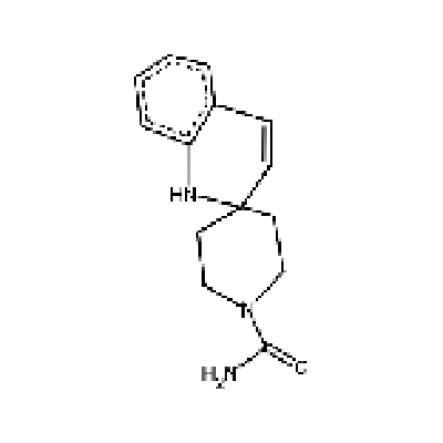 NC(=O)N1CCC2(C=Cc3ccccc3N2)CC1